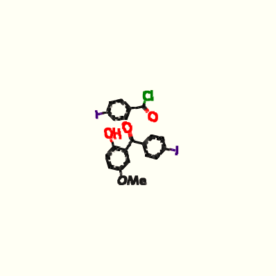 COc1ccc(O)c(C(=O)c2ccc(I)cc2)c1.O=C(Cl)c1ccc(I)cc1